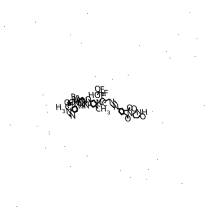 COc1cc(N2CCC(CN3CCN(c4ccc5c(c4)C(=O)N(C4CCC(=O)NC4=O)C5=O)CC3)CC2)c(C)cc1Nc1ncc(Br)c(Nc2ccc3nccnc3c2P(C)(C)=O)n1.O=C(O)C(F)(F)F